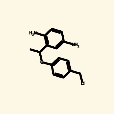 CC(Oc1ccc(CCl)cc1)c1cc(N)ccc1N